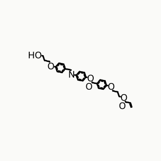 C=CC(=O)OCCCOc1ccc(C(=O)Oc2ccc(/N=C/c3ccc(OCCCO)cc3)cc2)cc1